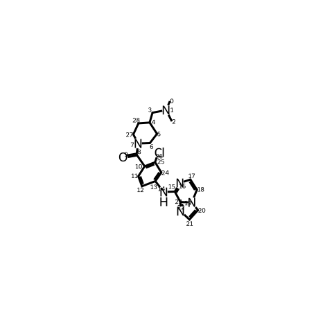 CN(C)CC1CCN(C(=O)c2ccc(Nc3nccn4ccnc34)cc2Cl)CC1